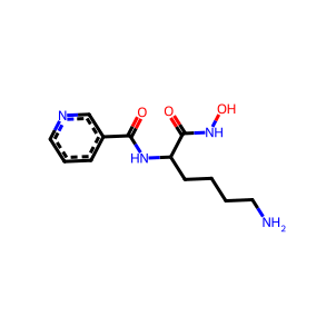 NCCCCC(NC(=O)c1cccnc1)C(=O)NO